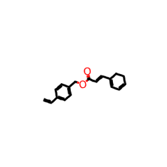 C=Cc1ccc(COC(=O)/C=C/C2=CC=CCC2)cc1